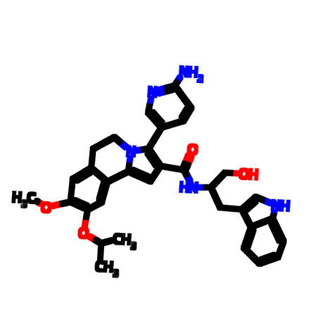 COc1cc2c(cc1OC(C)C)-c1cc(C(=O)NC(CO)Cc3c[nH]c4ccccc34)c(-c3ccc(N)nc3)n1CC2